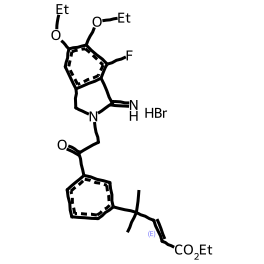 Br.CCOC(=O)/C=C/C(C)(C)c1cccc(C(=O)CN2Cc3cc(OCC)c(OCC)c(F)c3C2=N)c1